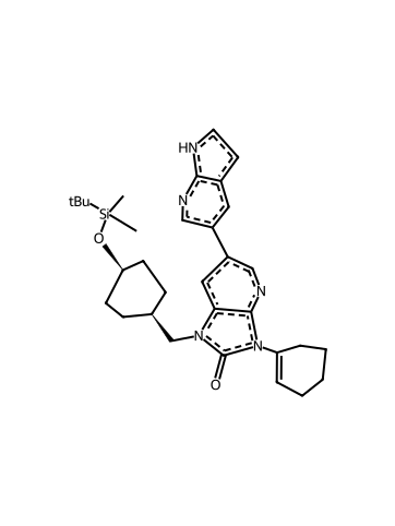 CC(C)(C)[Si](C)(C)O[C@H]1CC[C@@H](Cn2c(=O)n(C3=CCCCC3)c3ncc(-c4cnc5[nH]ccc5c4)cc32)CC1